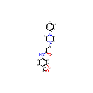 O=C(CCN1CCN(c2ccccc2)CC1)Nc1ccc2c(c1)OOC2